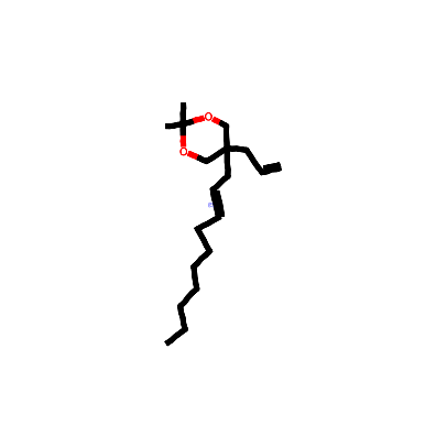 C=CCC1(C/C=C/CCCCCCC)COC(C)(C)OC1